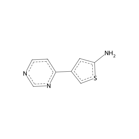 Nc1cc(-c2ccncn2)cs1